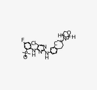 CP(C)(=O)c1cc(F)ccc1Nc1nc(Nc2ccc3c(c2)CC[C@@H](N2C[C@H]4C[C@@H]2CO4)CC3)ncc1Cl